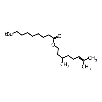 CC(C)=CCCC(C)CCOC(=O)CCCCCCCC(C)(C)C